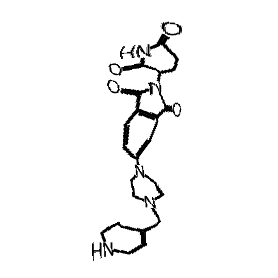 O=C1CCC(N2C(=O)c3ccc(N4CCN(CC5CCNCC5)CC4)cc3C2=O)C(=O)N1